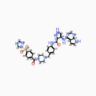 O=C(Nc1ccc(CN2CCN(C(=O)c3ccc(S(=O)(=O)n4cncn4)cc3)CC2)cc1)c1n[nH]cc1Nc1ncnc2[nH]ccc12